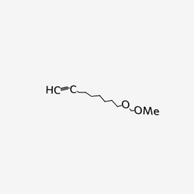 C#CCCCCCCCCOCOC